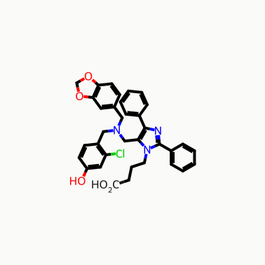 O=C(O)CCCn1c(-c2ccccc2)nc(-c2ccccc2)c1CN(Cc1ccc2c(c1)OCO2)Cc1ccc(O)cc1Cl